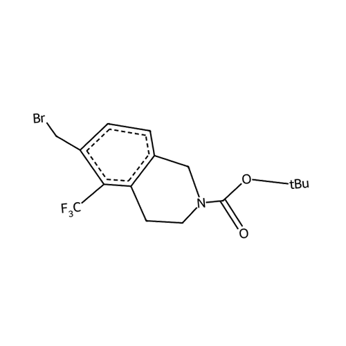 CC(C)(C)OC(=O)N1CCc2c(ccc(CBr)c2C(F)(F)F)C1